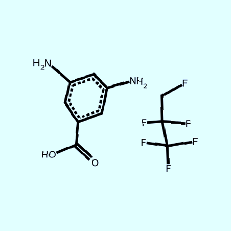 FCC(F)(F)C(F)(F)F.Nc1cc(N)cc(C(=O)O)c1